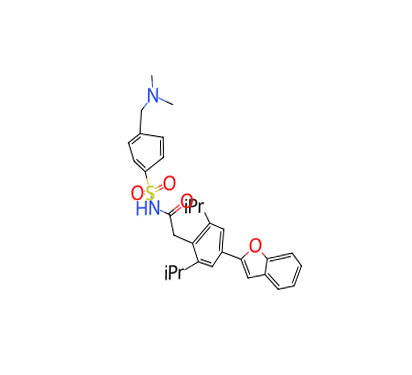 CC(C)c1cc(-c2cc3ccccc3o2)cc(C(C)C)c1CC(=O)NS(=O)(=O)c1ccc(CN(C)C)cc1